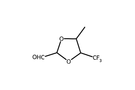 CC1OC(C=O)OC1C(F)(F)F